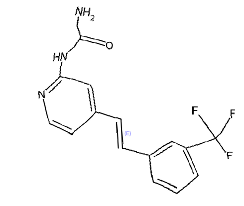 NC(=O)Nc1cc(/C=C/c2cccc(C(F)(F)F)c2)ccn1